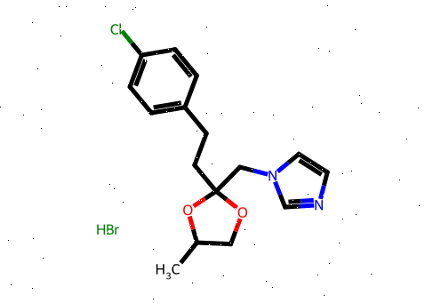 Br.CC1COC(CCc2ccc(Cl)cc2)(Cn2ccnc2)O1